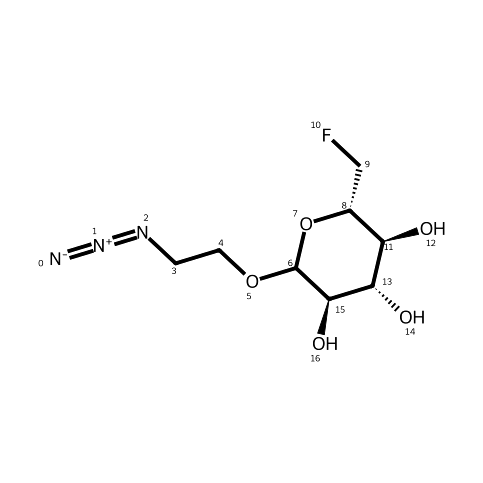 [N-]=[N+]=NCCOC1O[C@H](CF)[C@@H](O)[C@H](O)[C@H]1O